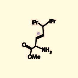 COC(=O)C(N)/C=C/C(C(C)C)C(C)C